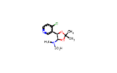 CN(C1OC(C)(C)OC1c1cnccc1Cl)S(=O)(=O)O